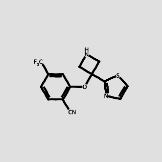 N#Cc1ccc(C(F)(F)F)cc1OC1(c2nccs2)CNC1